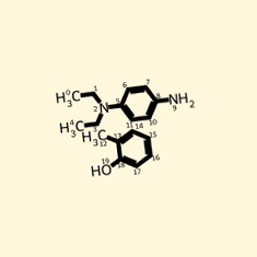 CCN(CC)c1ccc(N)cc1.Cc1ccccc1O